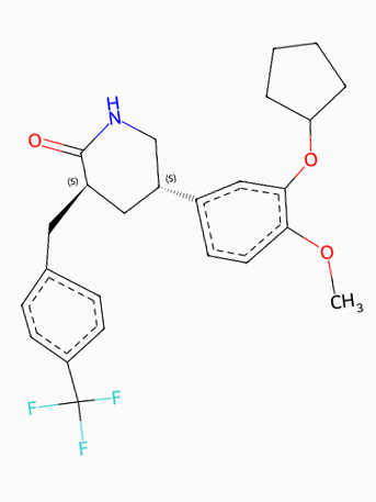 COc1ccc([C@H]2CNC(=O)[C@H](Cc3ccc(C(F)(F)F)cc3)C2)cc1OC1CCCC1